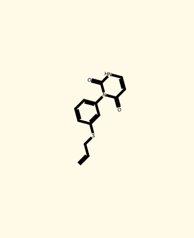 C=CCSc1cccc(-n2c(=O)cc[nH]c2=O)c1